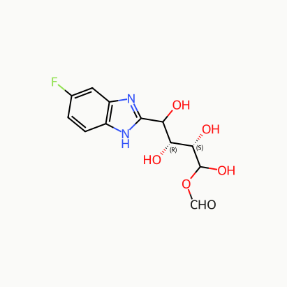 O=COC(O)[C@@H](O)[C@H](O)C(O)c1nc2cc(F)ccc2[nH]1